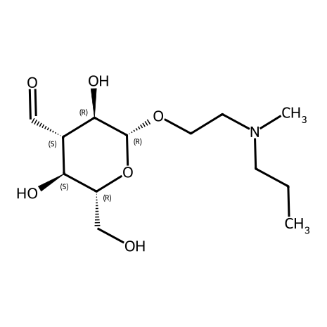 CCCN(C)CCO[C@@H]1O[C@H](CO)[C@@H](O)[C@H](C=O)[C@H]1O